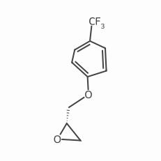 FC(F)(F)c1ccc(OC[C@@H]2CO2)cc1